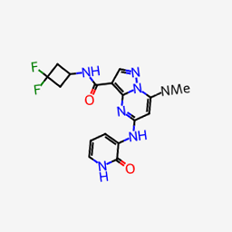 CNc1cc(Nc2ccc[nH]c2=O)nc2c(C(=O)NC3CC(F)(F)C3)cnn12